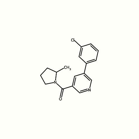 CC1CCCN1C(=O)c1cncc(-c2cccc(Cl)c2)c1